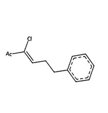 CC(=O)/C(Cl)=C/CCc1ccccc1